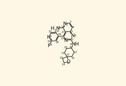 Nc1nccc2nc(NC3CCC4(CCO4)CC3)nc(-c3ccnc(F)c3)c12